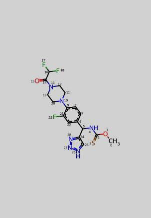 COC(=S)NC(c1ccc(N2CCN(C(=O)C(F)F)CC2)c(F)c1)c1c[nH]nn1